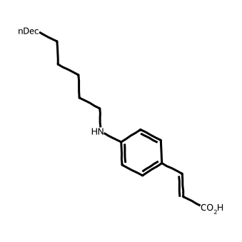 CCCCCCCCCCCCCCCNc1ccc(/C=C/C(=O)O)cc1